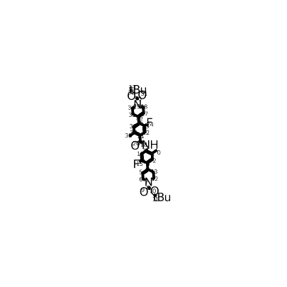 Cc1cc(C2=CCN(C(=O)OC(C)(C)C)CC2)c(F)cc1NC(=O)c1cc(F)c(C2=CCN(C(=O)OC(C)(C)C)CC2)cc1C